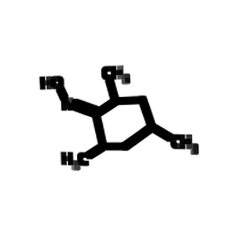 CC1CC(C)C(=NO)C(C)C1